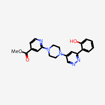 COC(=O)c1ccnc(N2CCN(c3cnnc(-c4ccccc4O)c3)CC2)c1